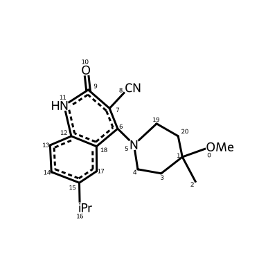 COC1(C)CCN(c2c(C#N)c(=O)[nH]c3ccc(C(C)C)cc23)CC1